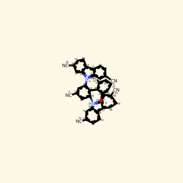 N#Cc1cc(-n2c3cc(C#N)ccc3c3ccc(C#N)cc32)c(-c2c(C#N)cccc2C(F)(F)F)c(-n2c3cc(C#N)ccc3c3ccc(C#N)cc32)c1